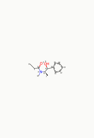 CCC(=O)N(C)[C@H](C)[C@@H](O)c1ccccc1